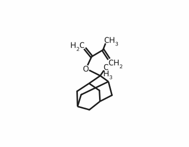 C=C(C)C(=C)OC1(C)C2CC3CC(C2)CC1C3